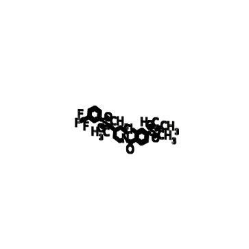 CC(C)(C)S(=O)(=O)c1ccc(C(=O)N2CCC(C(C)(C)S(=O)(=O)c3cccc(C(F)(F)F)c3)CC2)c(Cl)c1